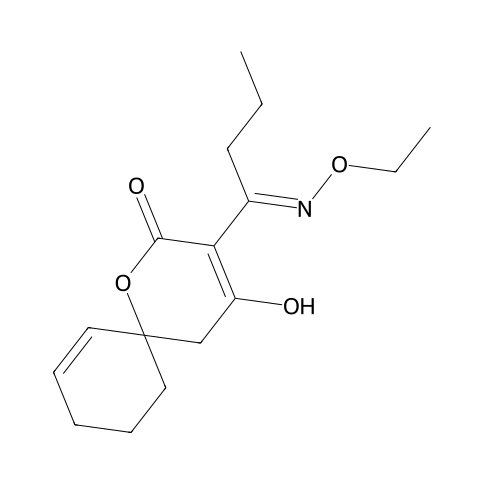 CCC/C(=N\OCC)C1=C(O)CC2(C=CCCC2)OC1=O